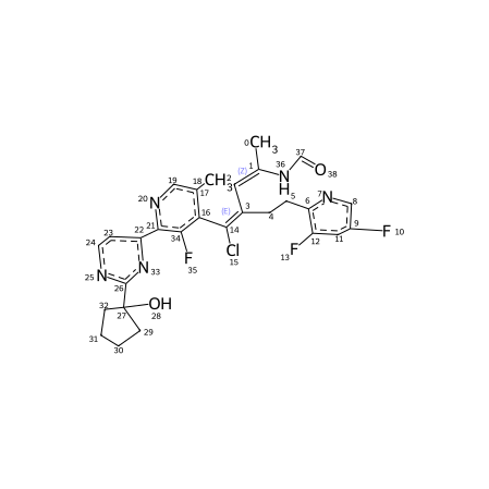 C/C(=C/C(CCc1ncc(F)cc1F)=C(/Cl)c1c(C)cnc(-c2ccnc(C3(O)CCCC3)n2)c1F)NC=O